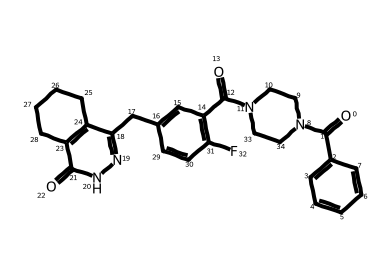 O=C(c1ccccc1)N1CCN(C(=O)c2cc(Cc3n[nH]c(=O)c4c3CCCC4)ccc2F)CC1